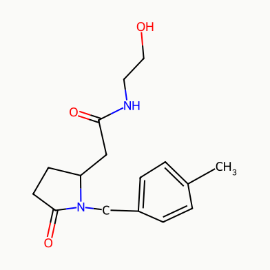 Cc1ccc(CN2C(=O)CCC2CC(=O)NCCO)cc1